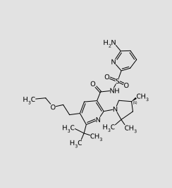 CCOCCc1cc(C(=O)NS(=O)(=O)c2cccc(N)n2)c(N2C[C@@H](C)CC2(C)C)nc1C(C)(C)C